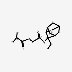 CCC1(OC(=O)COC(=O)C(C)C)C2CC3CC(C2)C1C3